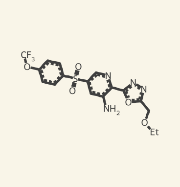 CCOCc1nnc(-c2ncc(S(=O)(=O)c3ccc(OC(F)(F)F)cc3)cc2N)o1